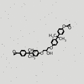 CC(C)(c1ccc(OCC(O)COc2ccc(C(C)(C)c3ccc(C4CO4)cc3)cc2)cc1)c1ccc(OC2CO2)cc1